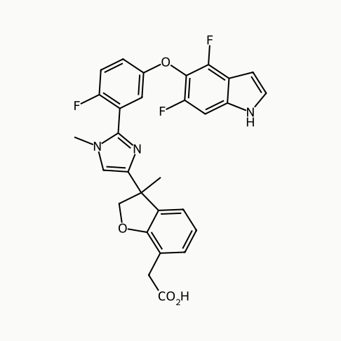 Cn1cc(C2(C)COc3c(CC(=O)O)cccc32)nc1-c1cc(Oc2c(F)cc3[nH]ccc3c2F)ccc1F